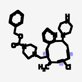 C=C1/C=C(Cl)\C=C/CC(N2CCNCC2)c2ncccc2/C=C\1CN1CCN(C(=O)OCc2ccccc2)CC1